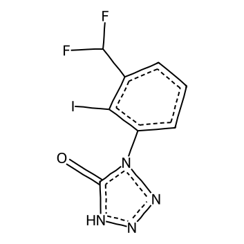 O=c1[nH]nnn1-c1cccc(C(F)F)c1I